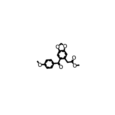 COC(=O)Cc1cc2c(cc1C(=O)c1ccc(OC)cc1)OCO2